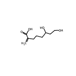 C=C(CCCC(O)CCO)C(=O)O